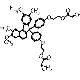 C=CC(=O)OCCOc1ccc(C2(c3ccc(OCCOC(=O)C=C)cc3)c3cc(C)c(C)cc3-c3c2ccc2cc(OC)c(C)cc32)cc1